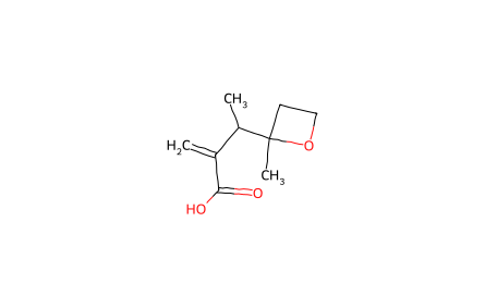 C=C(C(=O)O)C(C)C1(C)CCO1